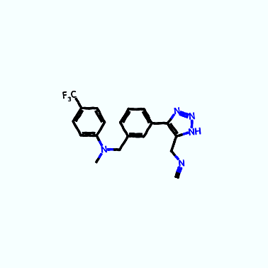 C=NCc1[nH]nnc1-c1cccc(CN(C)c2ccc(C(F)(F)F)cc2)c1